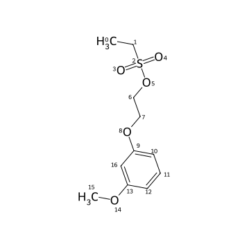 CCS(=O)(=O)OCCOc1cccc(OC)c1